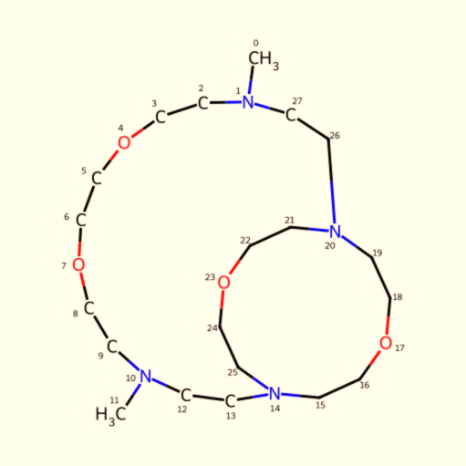 CN1CCOCCOCCN(C)CCN2CCOCCN(CCOCC2)CC1